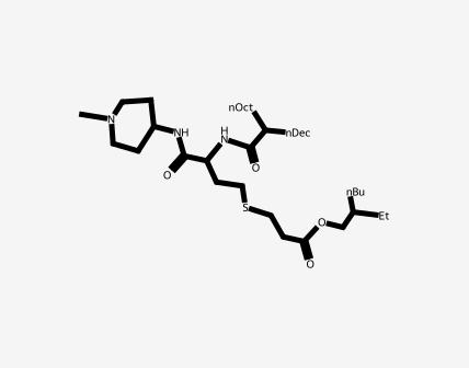 CCCCCCCCCCC(CCCCCCCC)C(=O)NC(CCSCCC(=O)OCC(CC)CCCC)C(=O)NC1CCN(C)CC1